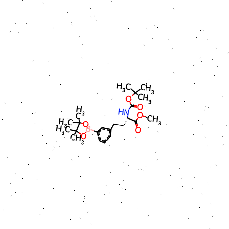 COC(=O)[C@H](CCc1cccc(B2OC(C)(C)C(C)(C)O2)c1)NC(=O)OC(C)(C)C